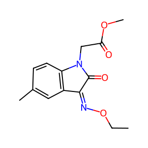 CCON=C1C(=O)N(CC(=O)OC)c2ccc(C)cc21